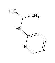 CC(C)Nc1cc[c]cn1